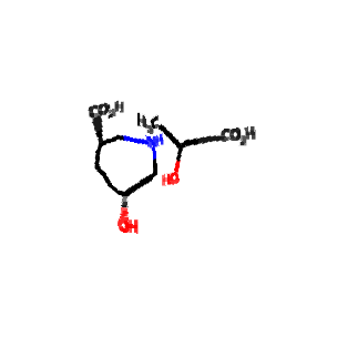 CC(O)C(=O)O.O=C(O)[C@@H]1C[C@@H](O)CN1